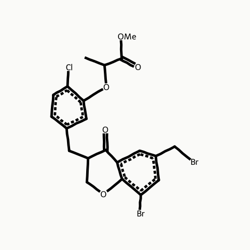 COC(=O)C(C)Oc1cc(CC2COc3c(Br)cc(CBr)cc3C2=O)ccc1Cl